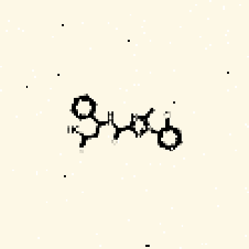 Cc1nc(C(=O)NC(CC(=O)O)c2ccccc2)nn1-c1ccccc1Cl